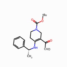 C[C@@H](NC1=C(C(=O)C=O)CN(C(=O)OC(C)(C)C)CC1)c1ccccc1